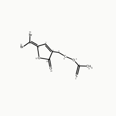 CC(=S)OCCC1=CC(=C(Br)Br)OC1=O